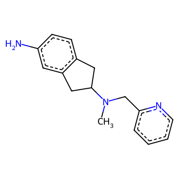 CN(Cc1ccccn1)C1Cc2ccc(N)cc2C1